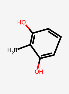 Bc1c(O)cccc1O